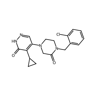 O=C1CN(c2cn[nH]c(=O)c2C2CC2)CCN1Cc1ccccc1Cl